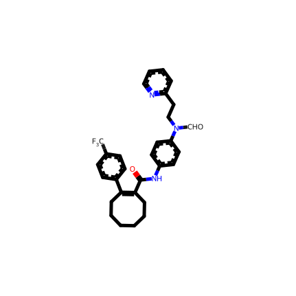 O=CN(CCc1ccccn1)c1ccc(NC(=O)C2=C(c3ccc(C(F)(F)F)cc3)CCCCCC2)cc1